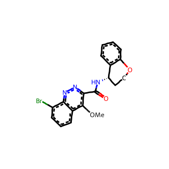 COc1c(C(=O)N[C@H]2CCOc3ccccc32)nnc2c(Br)cccc12